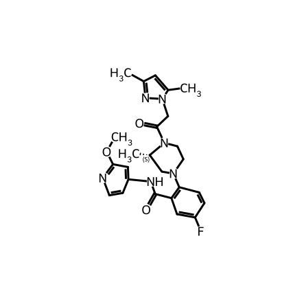 COc1cc(NC(=O)c2cc(F)ccc2N2CCN(C(=O)Cn3nc(C)cc3C)[C@@H](C)C2)ccn1